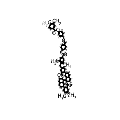 Cc1ccc(C(=O)Oc2ccc(COCc3ccc(OC(=O)c4ccc(Cc5cc(C(=O)Oc6ccc7ccccc7c6-c6c(OC(=O)c7ccc(C)c(C)c7)ccc7ccccc67)ccc5C)c(C)c4)cc3)cc2)cc1C